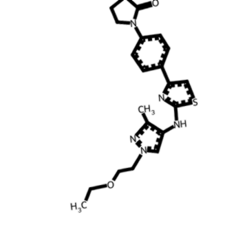 CCOCCn1cc(Nc2nc(-c3ccc(N4CCCC4=O)cc3)cs2)c(C)n1